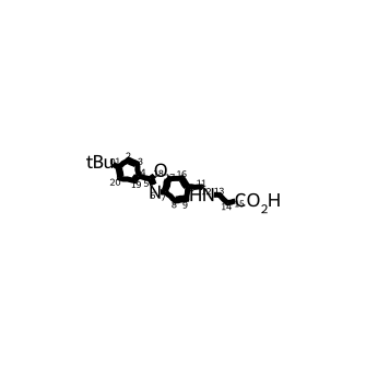 CC(C)(C)c1ccc(-c2nc3ccc(CNCCC(=O)O)cc3o2)cc1